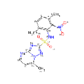 Cc1ccc(C)c([N+](=O)[O-])c1NS(=O)(=O)c1nc2nccc(C)n2n1